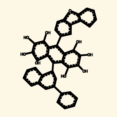 Oc1c(O)c(O)c2c(-c3cc(-c4ccccc4)cc4ccccc34)c3c(O)c(O)c(O)c(O)c3c(-c3ccc4oc5ccccc5c4c3)c2c1O